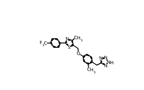 Cc1cc(OCc2sc(-c3ccc(C(F)(F)F)cc3)nc2C)ccc1Cc1nn[nH]n1